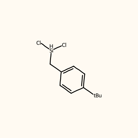 CC(C)(C)c1ccc(C[SiH](Cl)Cl)cc1